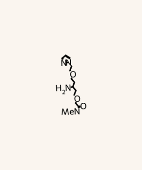 CNC(=O)COCCC(N)CCOCCn1cccn1